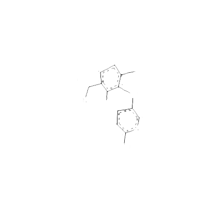 CC[C@@H](N)c1ccc(Cl)c(Oc2ccc(C)nc2)c1F